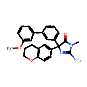 CN1C(=O)C(c2cccc(-c3cccc(OC(F)(F)F)c3)c2)(c2ccc3c(c2)CCCO3)N=C1N